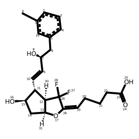 Cc1cccc(C[C@H](O)C=C[C@@H]2[C@@H]3[C@H](C[C@H]2O)O/C(=C/CCCC(=O)O)C3(F)F)c1